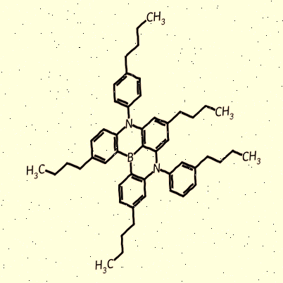 CCCCc1ccc(N2c3ccc(CCCC)cc3B3c4ccc(CCCC)cc4N(c4cccc(CCCC)c4)c4cc(CCCC)cc2c43)cc1